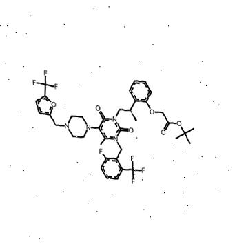 Cc1c(N2CCN(Cc3ccc(C(F)(F)F)o3)CC2)c(=O)n(C[C@H](C)c2ccccc2OCC(=O)OC(C)(C)C)c(=O)n1Cc1c(F)cccc1C(F)(F)F